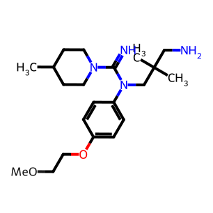 COCCOc1ccc(N(CC(C)(C)CN)C(=N)N2CCC(C)CC2)cc1